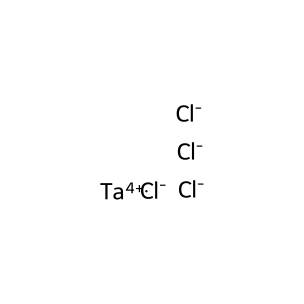 [Cl-].[Cl-].[Cl-].[Cl-].[Ta+4]